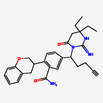 C#CCCC(c1ccc(C2COc3ccccc3C2)c(C(N)=O)c1)N1C(=N)NC(CC)(CC)CC1=O